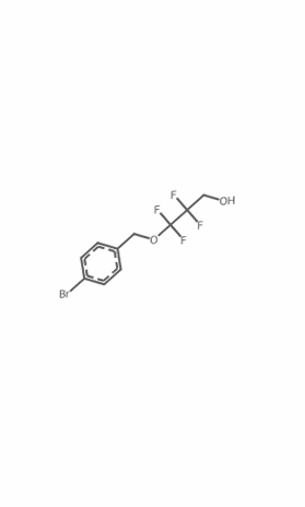 OCC(F)(F)C(F)(F)OCc1ccc(Br)cc1